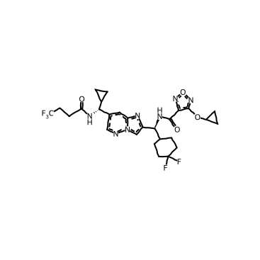 O=C(CCC(F)(F)F)N[C@@H](c1cnn2cc([C@@H](NC(=O)c3nonc3OC3CC3)C3CCC(F)(F)CC3)nc2c1)C1CC1